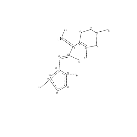 C/N=C(C1=C(C)CC(C)CC1)/C(C)=C/c1cc(C)ccc1C